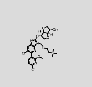 COc1nc(Cl)ccc1-c1nc2c(cc1Cl)nc(O[C@@H]1CO[C@H]3[C@@H]1OC[C@H]3O)n2COCC[Si](C)(C)C